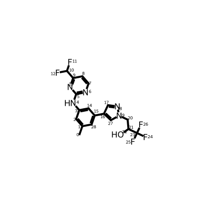 Cc1cc(Nc2nccc(C(F)F)n2)cc(-c2cnn(CC(O)C(F)(F)F)c2)c1